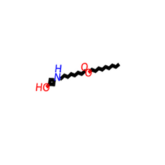 CCCCCCCCCOC(=O)CCCCCCCNC1CC(O)C1